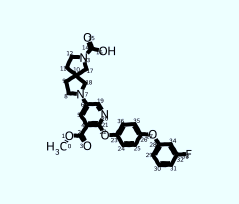 COC(=O)c1cc(N2CCC3(CCN(C(=O)O)C3)C2)cnc1Oc1ccc(Oc2cccc(F)c2)cc1